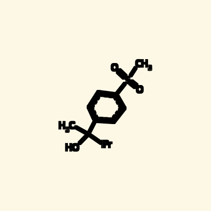 CC(C)C(C)(O)c1ccc(S(C)(=O)=O)cc1